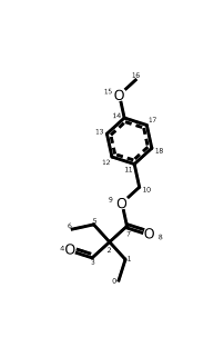 CCC(C=O)(CC)C(=O)OCc1ccc(OC)cc1